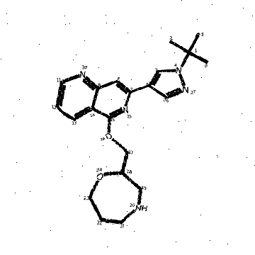 CC(C)(C)n1cc(-c2cc3ncccc3c(OCC3CNCCCO3)n2)cn1